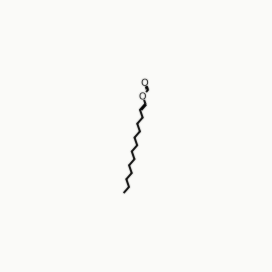 CCCCCCCCCCCC/C=C/OC=O